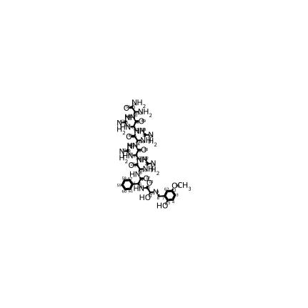 COc1ccc(O)c(/C=N/C(O)C(=O)NC(C(=O)NC(NC(=N)N)C(=O)NC(NC(=N)N)C(=O)NC(NC(=N)N)C(=O)NC(NC(=N)N)C(=O)NC(N)C(N)=O)c2ccccc2)c1